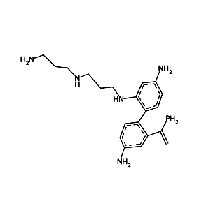 C=C(P)c1cc(N)ccc1-c1ccc(N)cc1NCCCNCCCN